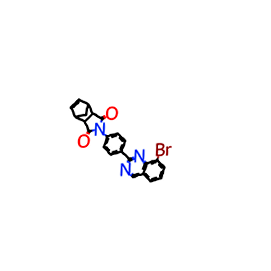 O=C1C2C3C=CC(C3)C2C(=O)N1c1ccc(-c2ncc3cccc(Br)c3n2)cc1